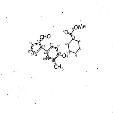 COC(=O)[C@H]1CCC[C@H](Oc2ccc(-c3sccc3C=O)nc2C)C1